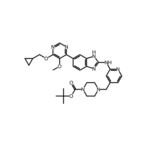 COc1c(OCC2CC2)ncnc1-c1ccc2nc(Nc3cc(CN4CCN(C(=O)OC(C)(C)C)CC4)ccn3)[nH]c2c1